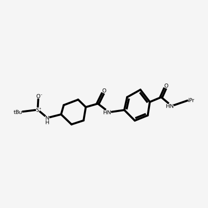 CC(C)NC(=O)c1ccc(NC(=O)C2CCC(N[S+]([O-])C(C)(C)C)CC2)cc1